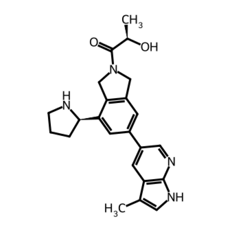 Cc1c[nH]c2ncc(-c3cc4c(c([C@H]5CCCN5)c3)CN(C(=O)[C@@H](C)O)C4)cc12